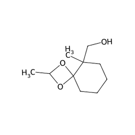 CC1OC2(CCCCC2(C)CO)O1